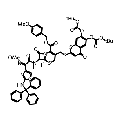 CO/N=C(\C(=O)NC1C(=O)N2C(C(=O)OCc3ccc(OC)cc3)=C(CSc3cc(=O)c4cc(OC(=O)OC(C)(C)C)c(OC(=O)OC(C)(C)C)cc4s3)CS[C@@H]12)c1csc(NC(c2ccccc2)(c2ccccc2)c2ccccc2)n1